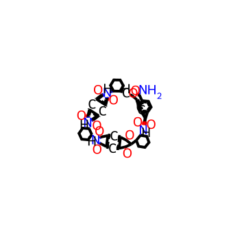 NC(=O)c1ccc2c3c4ccc(c13)C(=O)C[C@@H]1CCCC[C@H]1n1c(=O)c3cc5c(=O)n(c(=O)c5cc3c1=O)[C@@H]1CCCC[C@H]1N1C(=O)c3cc5c(cc3C1=O)C(=O)C(C5=O)C1CCCC[C@H]1N(C2=O)C4=O